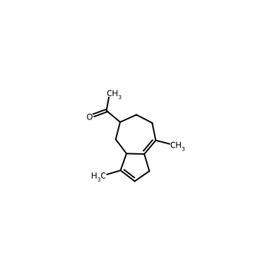 CC(=O)C1CCC(C)=C2CC=C(C)C2C1